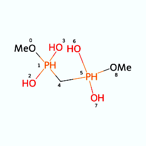 CO[PH](O)(O)C[PH](O)(O)OC